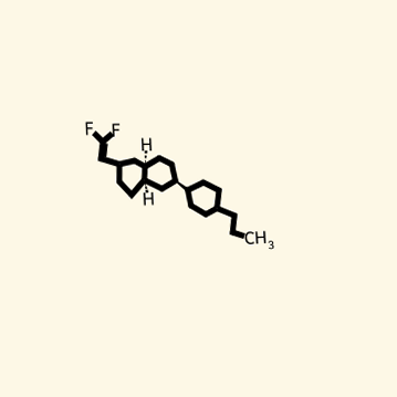 CCCC1CCC([C@@H]2CC[C@@H]3CC(C=C(F)F)CC[C@@H]3C2)CC1